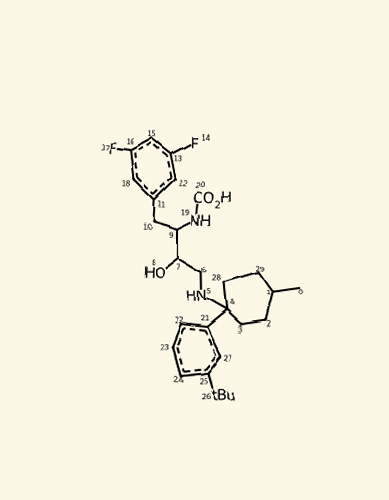 CC1CCC(NCC(O)C(Cc2cc(F)cc(F)c2)NC(=O)O)(c2cccc(C(C)(C)C)c2)CC1